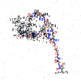 CCCC(CCC)C1CC(=O)N(CCC(=O)NCCOCCOCCC(=O)N[C@@H](CCC(=O)NCC(C)(C)COC(C)(C)CC(=O)NCC(C)(C)COCC(C)(C)CNC(=O)C(C)(C)CCC(C)(C)C/C=C\C(C)(C)CCC(C)(C)CC)C(=O)NCC(C)(C)COCC(C)(C)CC(=O)NCC(C)(C)COC(C)(C)CNC(=O)C(C)(C)CC(C)(C)C/C=C\C(C)(C)CCC(C)(C)CC)C1=O